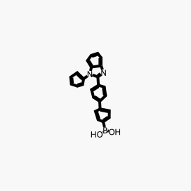 OB(O)c1ccc(-c2ccc(-c3nc4ccccc4n3-c3ccccc3)cc2)cc1